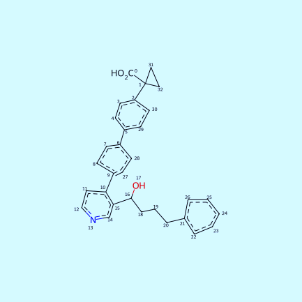 O=C(O)C1(c2ccc(-c3ccc(-c4ccncc4C(O)CCCc4ccccc4)cc3)cc2)CC1